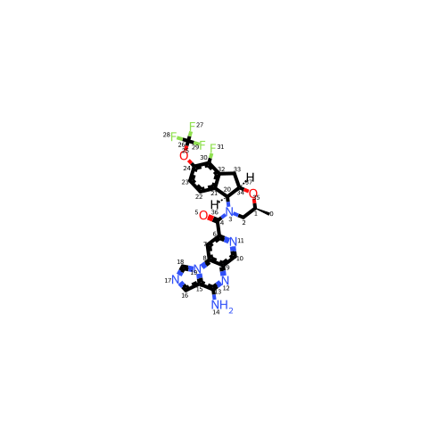 C[C@H]1CN(C(=O)c2cc3c(cn2)nc(N)c2cncn23)[C@H]2c3ccc(OC(F)(F)F)c(F)c3C[C@H]2O1